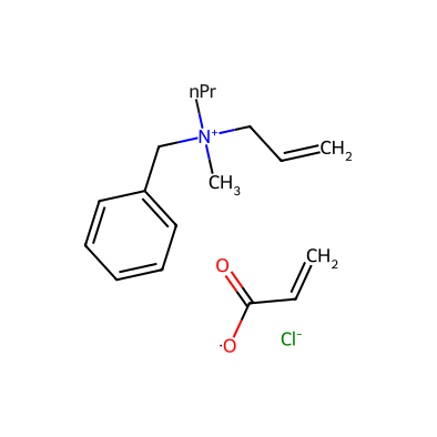 C=CC([O])=O.C=CC[N+](C)(CCC)Cc1ccccc1.[Cl-]